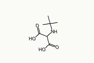 CC(C)(C)NC(C(=O)O)C(=O)O